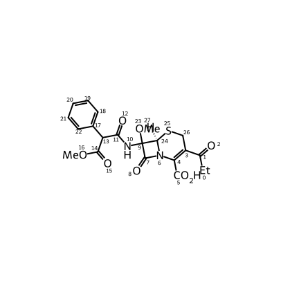 CCC(=O)C1=C(C(=O)O)N2C(=O)C(NC(=O)C(C(=O)OC)c3ccccc3)(OC)[C@H]2SC1